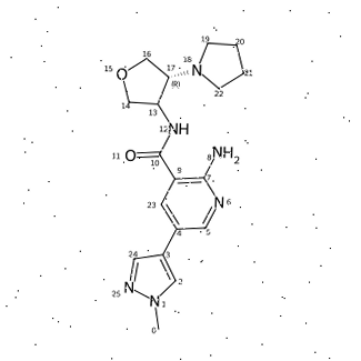 Cn1cc(-c2cnc(N)c(C(=O)NC3COC[C@@H]3N3CCCC3)c2)cn1